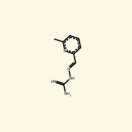 Cc1cccc(C=NNC(=N)N)n1